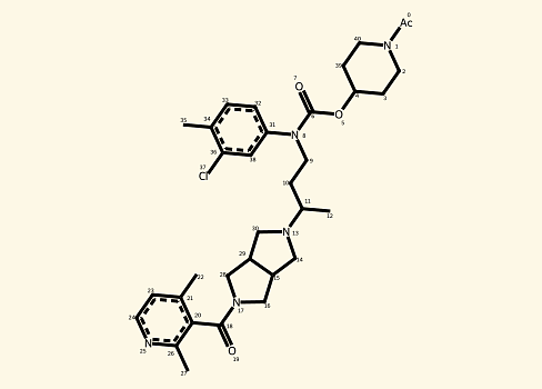 CC(=O)N1CCC(OC(=O)N(CCC(C)N2CC3CN(C(=O)c4c(C)ccnc4C)CC3C2)c2ccc(C)c(Cl)c2)CC1